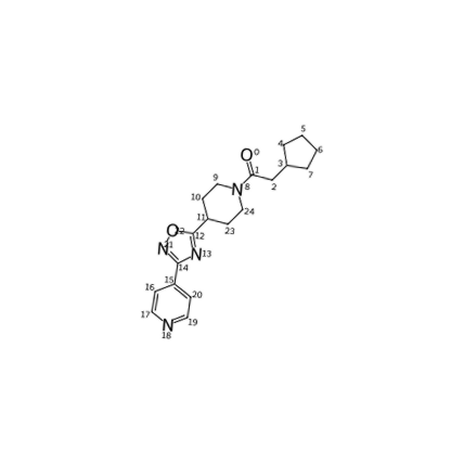 O=C(CC1CCCC1)N1CCC(c2nc(-c3ccncc3)no2)CC1